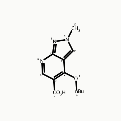 CCCCOc1c(C(=O)O)cnc2nn(C)cc12